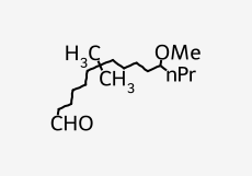 CCCC(CCCCC(C)(C)CCCCCC=O)OC